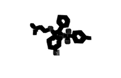 Cc1ccc(S(=O)(=O)n2c(-c3ccccc3)c(OCCN(C)C)c3ccc(Cl)cc32)cc1